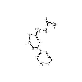 O=C(O)NNC1=N[C@H](c2ccccc2)COC1